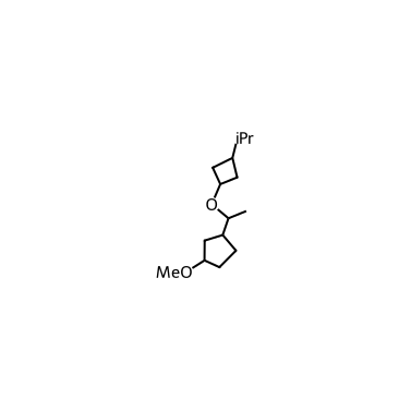 COC1CCC(C(C)OC2CC(C(C)C)C2)C1